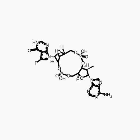 C[C@@H]1[C@@H]2OP(=O)(O)OC[C@H]3O[C@@H](n4cc(F)c5c(=O)[nH]cnc54)[C@H](OP(=O)(O)OC[C@H]2O[C@H]1n1cnc2c(N)ncnc21)[C@@H]3C